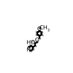 COc1ccc(COCC(O)Cc2ccncc2)cc1